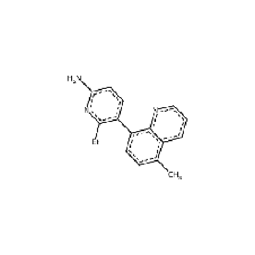 CCc1nc(N)ccc1-c1ccc(C)c2cccnc12